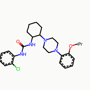 CC(C)Oc1ccccc1N1CCN(C2CCCCC2NC(=O)Nc2ccccc2Cl)CC1